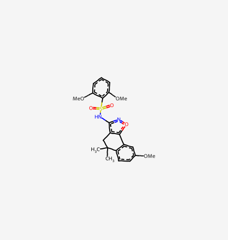 COc1ccc2c(c1)-c1onc(NS(=O)(=O)c3c(OC)cccc3OC)c1CC2(C)C